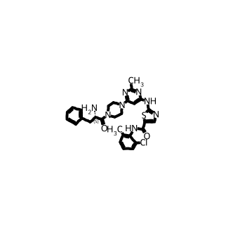 Cc1nc(Nc2ncc(C(=O)Nc3c(C)cccc3Cl)s2)cc(N2CCN(C(=O)[C@@H](N)Cc3ccccc3)CC2)n1